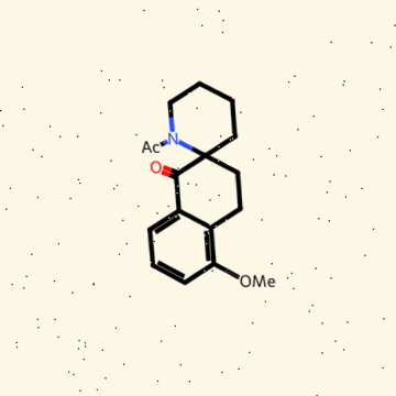 COc1cccc2c1CCC1(CCCCN1C(C)=O)C2=O